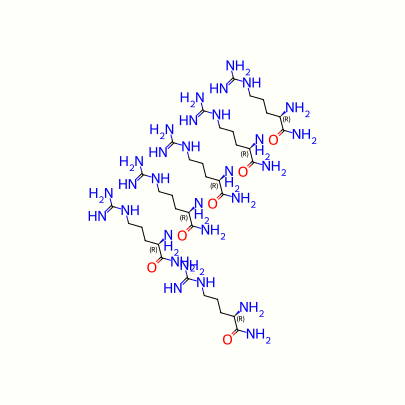 N=C(N)NCCC[C@@H](N)C(N)=O.N=C(N)NCCC[C@@H](N)C(N)=O.N=C(N)NCCC[C@@H](N)C(N)=O.N=C(N)NCCC[C@@H](N)C(N)=O.N=C(N)NCCC[C@@H](N)C(N)=O.N=C(N)NCCC[C@@H](N)C(N)=O